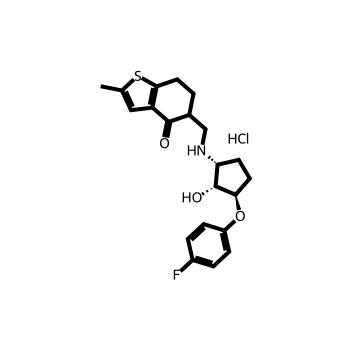 Cc1cc2c(s1)CCC(CN[C@@H]1CC[C@@H](Oc3ccc(F)cc3)[C@@H]1O)C2=O.Cl